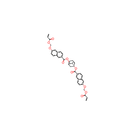 C=CC(=O)OCOc1ccc2cc(C(=O)OC3CC4CCC3CC4OC(=O)c3ccc4cc(OCOC(=O)C=C)ccc4c3)ccc2c1